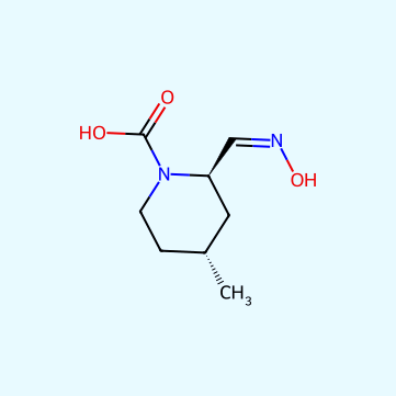 C[C@@H]1CCN(C(=O)O)[C@@H](/C=N\O)C1